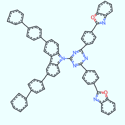 c1ccc(-c2ccc(-c3ccc4c(c3)c3cc(-c5ccc(-c6ccccc6)cc5)ccc3n4-c3nc(-c4ccc(-c5nc6ccccc6o5)cc4)nc(-c4ccc(-c5nc6ccccc6o5)cc4)n3)cc2)cc1